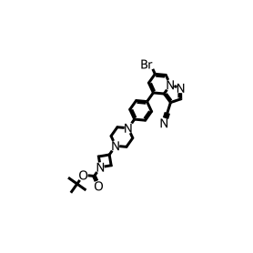 CC(C)(C)OC(=O)N1CC(N2CCN(c3ccc(-c4cc(Br)cn5ncc(C#N)c45)cc3)CC2)C1